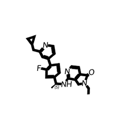 CCN1Cc2c(ccnc2N[C@@H](C)c2ccc(-c3ccnc(CC4CC4)c3)c(F)c2)C1=O